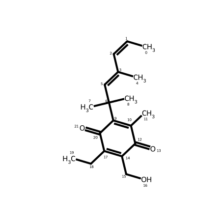 C/C=C\C(C)=C\C(C)(C)C1=C(C)C(=O)C(CO)=C(CC)C1=O